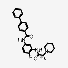 C[C@@H](C(=O)Nc1cc(NC(=O)c2ccc(-c3ccccc3)cc2)ccc1F)N1CCCCC1